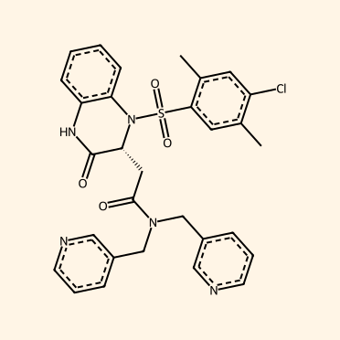 Cc1cc(S(=O)(=O)N2c3ccccc3NC(=O)[C@H]2CC(=O)N(Cc2cccnc2)Cc2cccnc2)c(C)cc1Cl